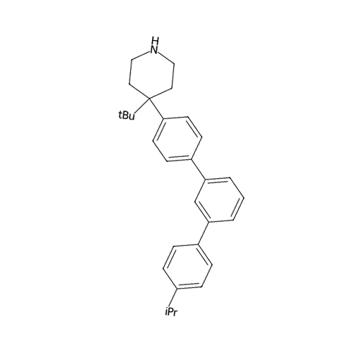 CC(C)c1ccc(-c2cccc(-c3ccc(C4(C(C)(C)C)CCNCC4)cc3)c2)cc1